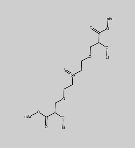 CCCCOC(=O)C(COC[CH2][Sn](=[S])[CH2]COCC(OCC)C(=O)OCCCC)OCC